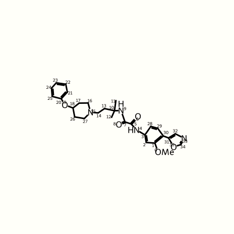 COc1cc(NC(=O)C(=O)NC(C)(C)CCN2CCC(Oc3ccccc3)CC2)ccc1-c1cnco1